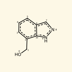 OCc1cc[c]c2cn[nH]c12